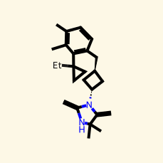 C=C1NC(C)(C)C(=C)N1[C@H]1C[C@H](Cc2ccc(C)c(C)c2C2(CC)CC2)C1